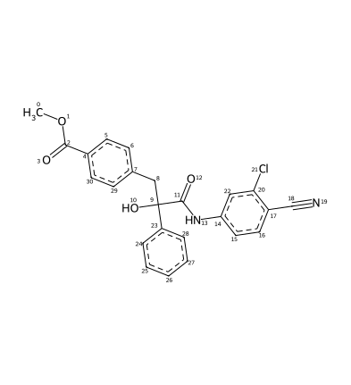 COC(=O)c1ccc(CC(O)(C(=O)Nc2ccc(C#N)c(Cl)c2)c2ccccc2)cc1